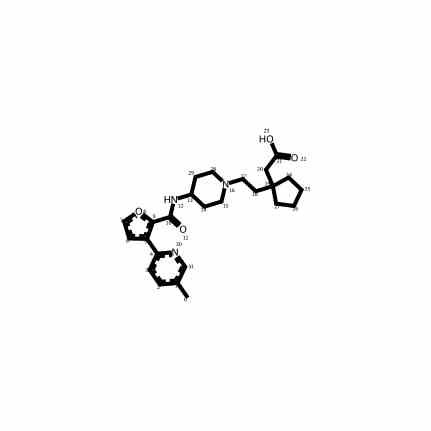 Cc1ccc(-c2ccoc2C(=O)NC2CCN(CCC3(CC(=O)O)CCCC3)CC2)nc1